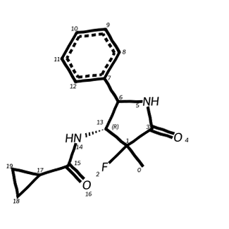 CC1(F)C(=O)NC(c2ccccc2)[C@H]1NC(=O)C1CC1